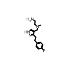 CN(CCN)Cc1c[nH]nc1CCc1ccc(F)cc1